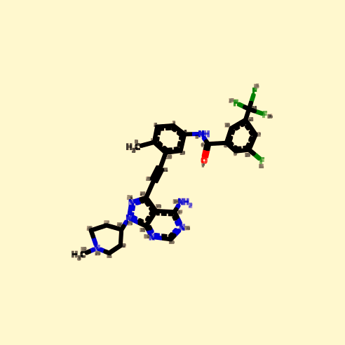 Cc1ccc(NC(=O)c2cc(F)cc(C(F)(F)F)c2)cc1C#Cc1nn(C2CCN(C)CC2)c2ncnc(N)c12